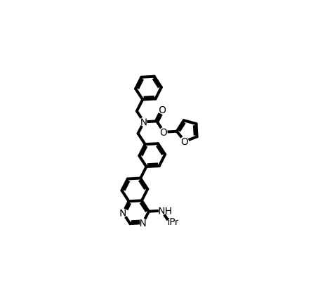 CC(C)Nc1ncnc2ccc(-c3cccc(CN(Cc4ccccc4)C(=O)Oc4ccco4)c3)cc12